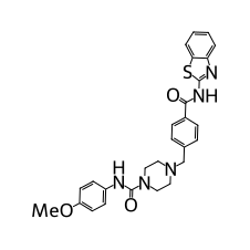 COc1ccc(NC(=O)N2CCN(Cc3ccc(C(=O)Nc4nc5ccccc5s4)cc3)CC2)cc1